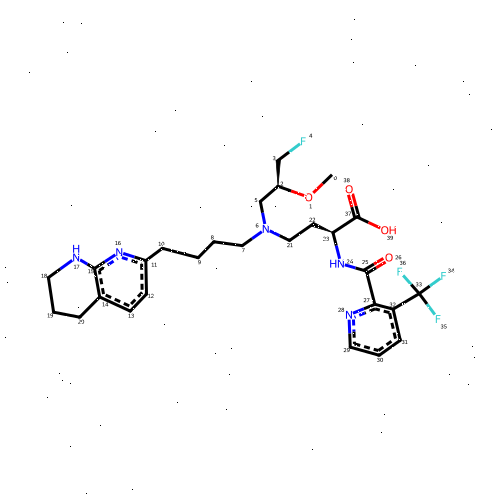 CO[C@H](CF)CN(CCCCc1ccc2c(n1)NCCC2)CC[C@H](NC(=O)c1ncccc1C(F)(F)F)C(=O)O